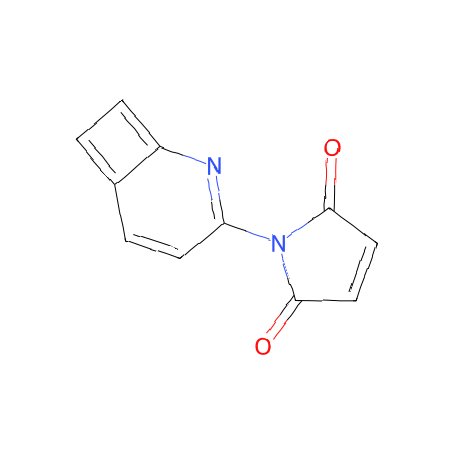 O=C1C=CC(=O)N1c1ccc2c(n1)=CC=2